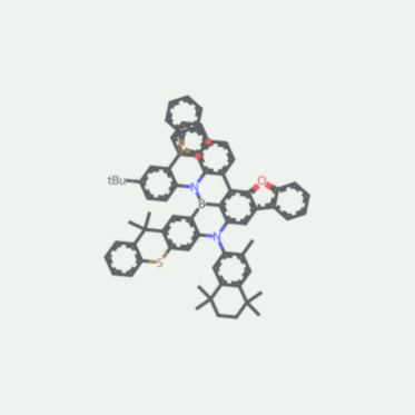 Cc1cc2c(cc1N1c3cc4c(cc3B3c5c1cc1c(oc6ccccc61)c5-c1ccc5c(sc6ccccc65)c1N3c1ccc(C(C)(C)C)cc1-c1ccccc1)C(C)(C)c1ccccc1S4)C(C)(C)CCC2(C)C